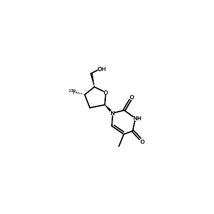 Cc1cn([C@H]2C[C@H]([13F])[C@@H](CO)O2)c(=O)[nH]c1=O